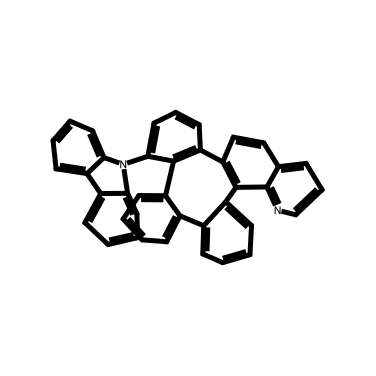 c1ccc2c(c1)-c1ccccc1-c1c(ccc3cccnc13)-c1cccc(-n3c4ccccc4c4ccccc43)c1-2